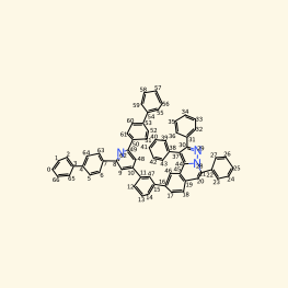 c1ccc(-c2ccc(-c3cc(-c4cccc(-c5ccc6cc(-c7ccccc7)n7nc(-c8ccccc8)c(-c8ccccc8)c7c6c5)c4)cc(-c4ccc(-c5ccccc5)cc4)n3)cc2)cc1